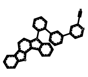 N#Cc1cc(-c2cccc(-c3ccccc3-n3c4ccccc4c4c5oc6ccccc6c5ccc43)c2)ccn1